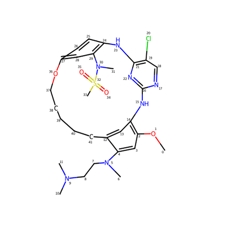 COc1cc(N(C)CCN(C)C)c2cc1Nc1ncc(Cl)c(n1)Nc1ccc(cc1N(C)S(C)(=O)=O)OCCCCC2